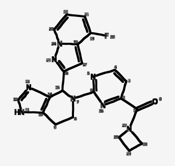 O=C(c1ccnc(N2CCc3[nH]cnc3C2c2cc3c(F)cccn3n2)n1)N1CCC1